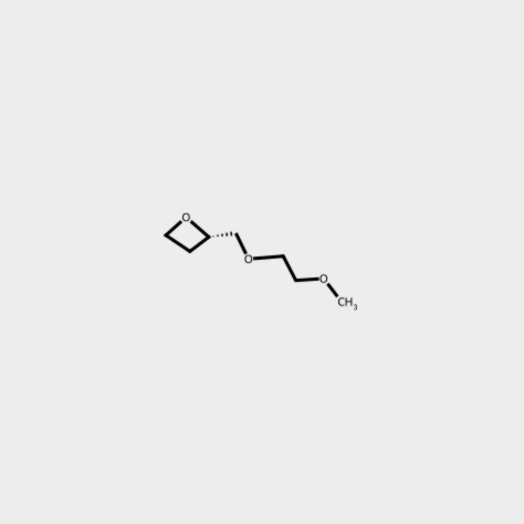 COCCOC[C@@H]1CCO1